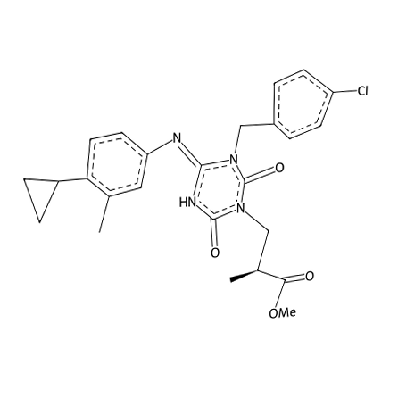 COC(=O)[C@@H](C)Cn1c(=O)[nH]/c(=N\c2ccc(C3CC3)c(C)c2)n(Cc2ccc(Cl)cc2)c1=O